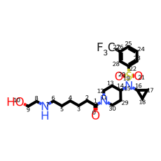 O=C(CCCCCNCCO)N1CCC(N(C2CC2)S(=O)(=O)c2cccc(C(F)(F)F)c2)CC1